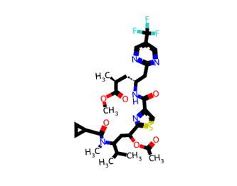 COC(=O)[C@@H](C)C[C@H](Cc1ncc(C(F)(F)F)cn1)NC(=O)c1csc(C(CC(C(C)C)N(C)C(=O)C2CC2)OC(C)=O)n1